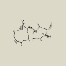 C1CCNCC1.C1CNCCN1